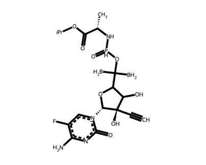 BC(B)(O[PH](=O)N[C@@H](C)C(=O)OC(C)C)C1O[C@@H](n2cc(F)c(N)nc2=O)[C@@](O)(C#C)C1O